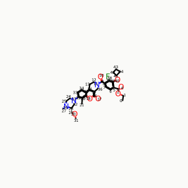 CCOC(=O)c1ccc(C(=O)N2CCc3c(c(=O)oc4c(C)c(N5CCN(C)[C@@H](COC)C5)ccc34)C2)c(F)c1OC1CCC1